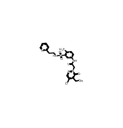 Cc1ccc(NC(=O)Cn2ncc(Cl)c(CO)c2=O)cc1S(=O)(=O)NCCc1ccccn1